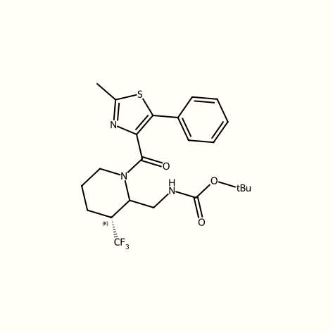 Cc1nc(C(=O)N2CCC[C@@H](C(F)(F)F)C2CNC(=O)OC(C)(C)C)c(-c2ccccc2)s1